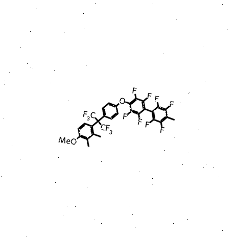 COc1ccc(C(c2ccc(Oc3c(F)c(F)c(-c4c(F)c(F)c(C)c(F)c4F)c(F)c3F)cc2)(C(F)(F)F)C(F)(F)F)c(C)c1C